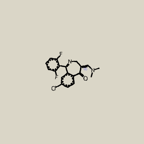 CN(C)/C=C1/CN=C(c2c(F)cccc2F)c2cc(Cl)ccc2C1=O